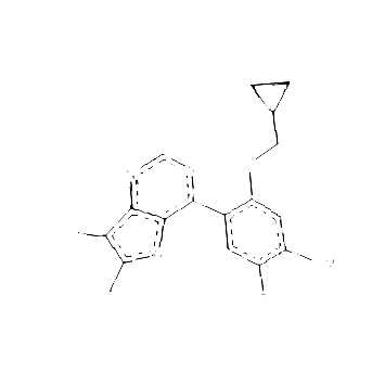 CCOC(=O)c1c(C)[nH]c2c(-c3cc(F)c(OC)cc3OCC3CC3)ncnc12